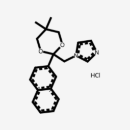 CC1(C)COC(Cn2ccnc2)(c2ccc3ccccc3c2)OC1.Cl